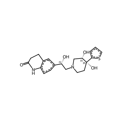 O=C1CCc2cc([C@H](O)CN3CC[C@](O)(c4cccs4)[C@@H](O)C3)ccc2N1